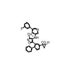 Cc1noc(-c2cc(C3(C(=O)O)CC3)ccc2-c2ccccc2)c1Nc1cncc(-c2cccc(F)c2)c1